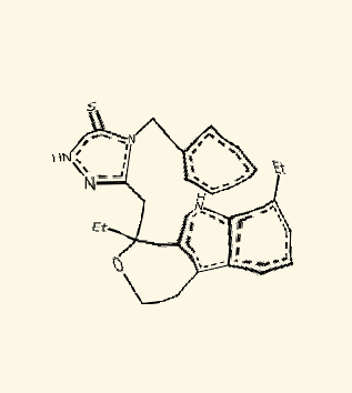 CCc1cccc2c3c([nH]c12)C(CC)(Cc1n[nH]c(=S)n1Cc1ccccc1)OCC3